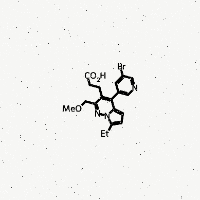 CCc1ccc2c(-c3cncc(Br)c3)c(CCC(=O)O)c(COC)nn12